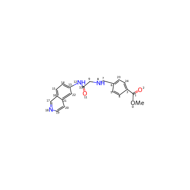 COC(=O)c1ccc(CNCC(=O)Nc2ccc3cnccc3c2)cc1